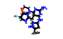 COc1cc(Nc2nc(N)nc(N3CCOCC3)c2[C@H](C)c2ncc(F)cn2)n[nH]1